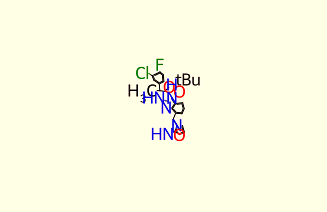 CC(C)(C)C(=O)OCC(C)(Nc1nc2c(Cn3ccoc3=N)cccc2[nH]1)c1ccc(F)c(Cl)c1